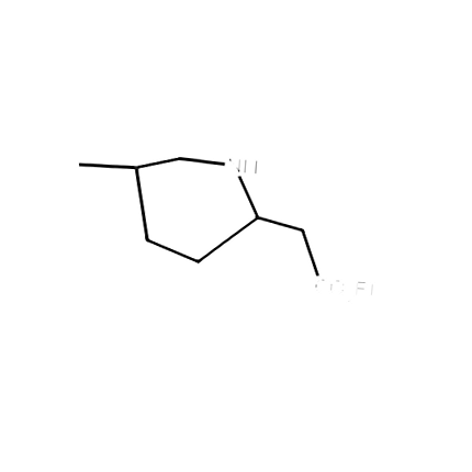 CCOC(=O)CC1CCC(C)CN1